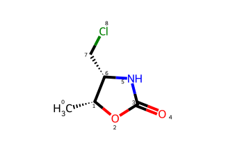 C[C@H]1OC(=O)N[C@H]1CCl